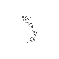 CC(C)(C)OC(=O)N1CCN(CCn2ccc(Oc3ccc(Cl)nn3)n2)CC1